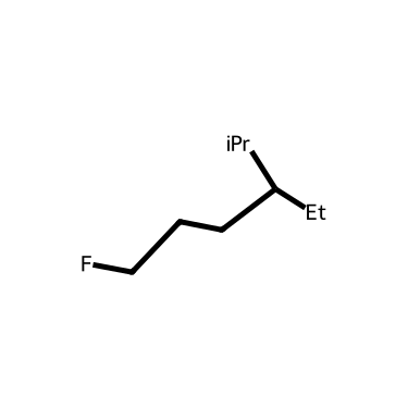 CCC(CCCF)C(C)C